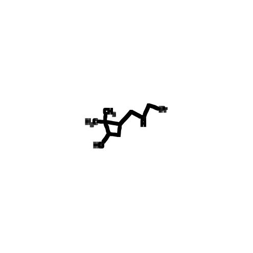 CC(C)CNCC1CC(O)C1(C)C